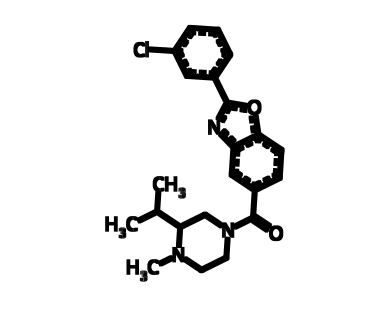 CC(C)C1CN(C(=O)c2ccc3oc(-c4cccc(Cl)c4)nc3c2)CCN1C